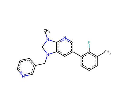 Cc1cccc(-c2cnc3c(c2)N(Cc2cccnc2)CN3C)c1F